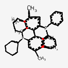 Cc1cc(P(c2ccccc2)c2ccccc2)c(-c2c(P(C3CCCCC3)C3CCCCC3)cc(C)c(C)c2C)c(C)c1C